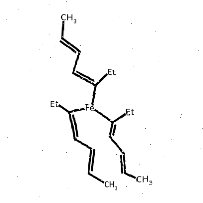 CC=CC=[C](CC)[Fe]([C](=CC=CC)CC)[C](=CC=CC)CC